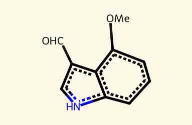 COc1cccc2[nH]cc(C=O)c12